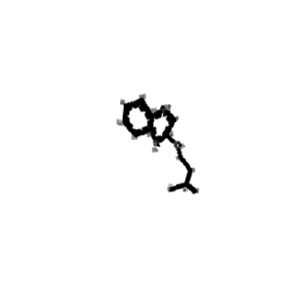 CC(C)CCOc1cnc2ccccc2n1